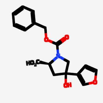 O=C(O)[C@@H]1CC(O)(c2ccoc2)CN1C(=O)OCc1ccccc1